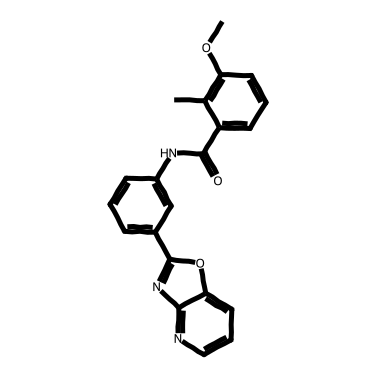 COc1cccc(C(=O)Nc2cccc(-c3nc4ncccc4o3)c2)c1C